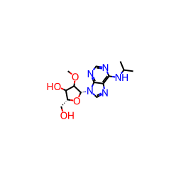 COC1C(O)[C@@H](CO)O[C@H]1n1cnc2c(NC(C)C)ncnc21